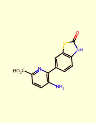 Nc1ccc(C(=O)O)nc1-c1ccc2[nH]c(=O)sc2c1